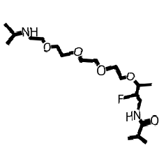 CC(C)NCCOCCOCCOCCOC(C)C(F)CNC(=O)C(C)C